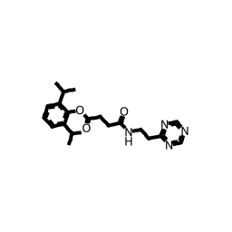 CC(C)c1cccc(C(C)C)c1OC(=O)CCC(=O)NCCc1ncncn1